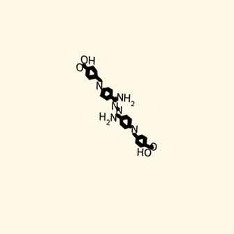 N/C(=N\N=C(/N)c1ccc(/N=C/c2ccc(C(=O)O)cc2)cc1)c1ccc(/N=C/c2ccc(C(=O)O)cc2)cc1